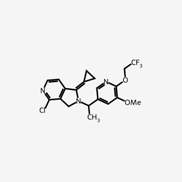 COc1cc(C(C)N2Cc3c(ccnc3Cl)C2=C2CC2)cnc1OCC(F)(F)F